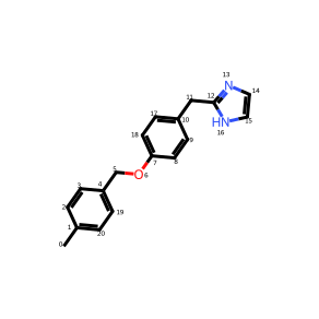 Cc1ccc(COc2ccc(Cc3ncc[nH]3)cc2)cc1